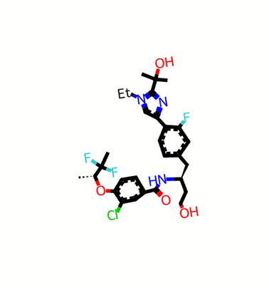 CCn1cc(-c2ccc(C[C@@H](CCO)NC(=O)c3ccc(O[C@H](C)C(C)(F)F)c(Cl)c3)cc2F)nc1C(C)(C)O